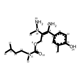 Cc1cc(/C(N)=C(\COC(=O)N(C)CCC(C)C)N(C)N)ccc1O